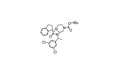 CC(c1cc(Cl)cc(Cl)c1)N(C)C(=O)[C@]1(N2CCN(C(=O)OC(C)(C)C)CC2)CCc2ccccc21